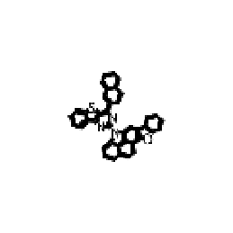 C1=CC2Oc3c(cc4c5c3ccc3cccc(c35)n4-c3nc(-c4ccc5ccccc5c4)c4sc5ccccc5c4n3)C2C=C1